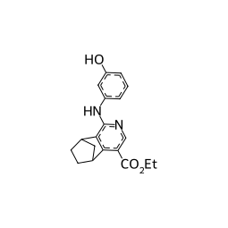 CCOC(=O)c1cnc(Nc2cccc(O)c2)c2c1C1CCC2C1